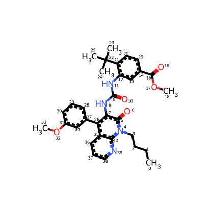 CCCCn1c(=O)c(NC(=O)Nc2cc(C(=O)OC)ccc2C(C)(C)C)c(-c2cccc(OC)c2)c2cccnc21